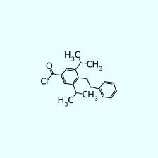 CC(C)c1cc(C(=O)Cl)cc(C(C)C)c1CCc1ccccc1